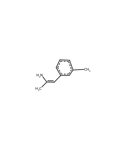 CC(N)=Cc1cccc(C)c1